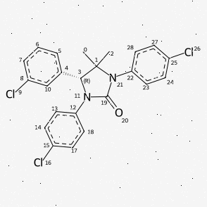 CC1(C)[C@@H](c2cccc(Cl)c2)N(c2ccc(Cl)cc2)C(=O)N1c1ccc(Cl)cc1